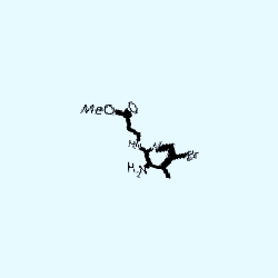 COC(=O)CCNc1ncc(Br)c(C)c1N